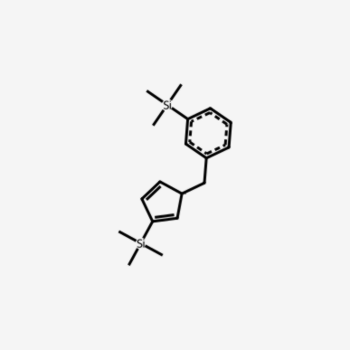 C[Si](C)(C)C1=C[C](Cc2cccc([Si](C)(C)C)c2)C=C1